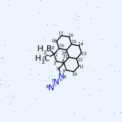 BC1(C)CC2(CN=[N+]=[N-])CCCC3CCC4CCCC1C4C32